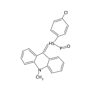 CN1c2ccccc2C(=C[SH](P=O)c2ccc(Cl)cc2)c2ccccc21